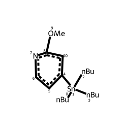 CCC[CH2][Sn]([CH2]CCC)([CH2]CCC)[c]1ccnc(OC)c1